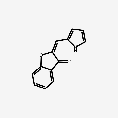 O=C1C(=Cc2ccc[nH]2)Oc2ccccc21